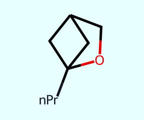 CCCC12CC(CO1)C2